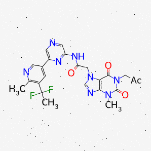 CC(=O)Cn1c(=O)c2c(ncn2CC(=O)Nc2cncc(-c3cnc(C)c(C(C)(F)F)c3)n2)n(C)c1=O